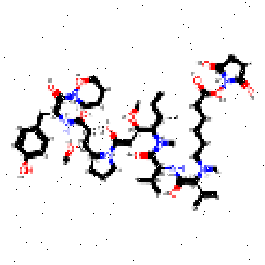 CC[C@H](C)C([C@@H](CC(=O)N1CCC[C@H]1[C@H](OC)[C@@H](C)C(=O)N[C@@H](Cc1ccc(O)cc1)C(=O)N1CCCCO1)OC)N(C)C(=O)[C@@H](NC(=O)[C@H](C(C)C)N(C)CCCCCC(=O)ON1C(=O)CCC1=O)C(C)C